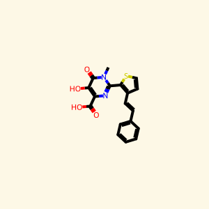 Cn1c(-c2sccc2C=Cc2ccccc2)nc(C(=O)O)c(O)c1=O